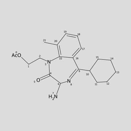 CC(=O)OCCN1C(=O)C(N)N=C(C2CCCCC2)c2cccc(C)c21